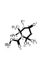 CCC[C@@]1(C)[C@H](F)C(=O)CC(C)(C)N1C(=O)OC(C)(C)C